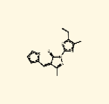 CCc1sc(N2N=C(C)C(=Cc3cccs3)C2=O)nc1C